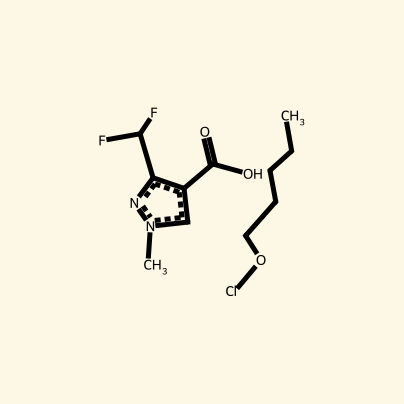 CCCCCOCl.Cn1cc(C(=O)O)c(C(F)F)n1